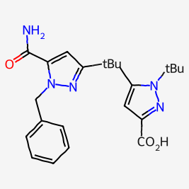 CC(C)(C)c1cc(C(N)=O)n(Cc2ccccc2)n1.Cc1cc(C(=O)O)nn1C(C)(C)C